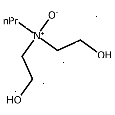 CCC[N+]([O-])(CCO)CCO